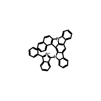 c1ccc(C2=[N+]=C(n3c4ccccc4c4cc5c6ccccc6n6c7ccc8ccccc8c7c(c43)c56)c3ccccc32)cc1